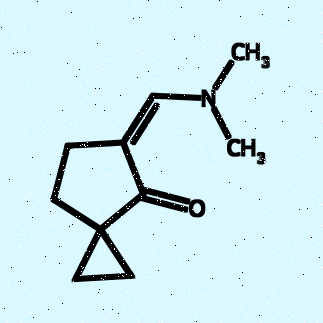 CN(C)C=C1CCC2(CC2)C1=O